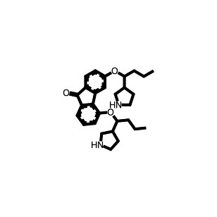 CCCC(Oc1ccc2c(c1)-c1c(OC(CCC)C3CCNC3)cccc1C2=O)C1CCNC1